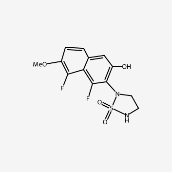 COc1ccc2cc(O)c(N3CCNS3(=O)=O)c(F)c2c1F